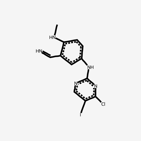 CNc1ccc(Nc2ncc(I)c(Cl)n2)cc1C=N